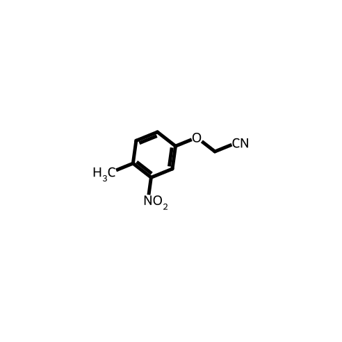 Cc1ccc(OCC#N)cc1[N+](=O)[O-]